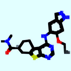 CN(C)C(=O)[C@H]1CCc2c(sc3ncnc(Nc4cc5cn[nH]c5cc4OCC(C)(C)C)c23)C1